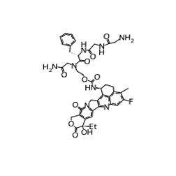 CC[C@@]1(O)C(=O)OCc2c1cc1n(c2=O)Cc2c-1nc1cc(F)c(C)c3c1c2[C@@H](NC(=O)OCCN(CC(N)=O)C(=O)[C@H](Cc1ccccc1)NC(=O)CNC(=O)CN)CC3